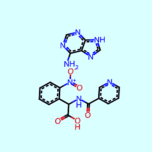 Nc1ncnc2[nH]cnc12.O=C(NC(C(=O)O)c1ccccc1[N+](=O)[O-])c1cccnc1